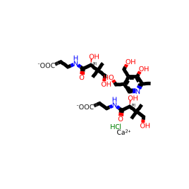 CC(C)(CO)[C@@H](O)C(=O)NCCC(=O)[O-].CC(C)(CO)[C@@H](O)C(=O)NCCC(=O)[O-].Cc1ncc(CO)c(CO)c1O.Cl.[Ca+2]